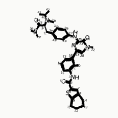 Cc1c(NC(=O)c2cc3c(s2)CCCC3)cccc1-c1cn(C)c(=O)c(Nc2ccc(C[C@@H](C(=O)N(C)C)N(C)C(C)C)cc2)n1